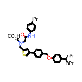 CCCC(CCC)c1ccc(OCc2ccc(-c3csc(CN(CC(=O)O)CC(=O)Nc4ccc(C(C)C)cc4)c3)cc2)cc1